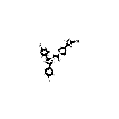 Cc1nnc(C2CCN(C(=O)Cn3nc(-c4ccc(F)cc4)nc3-c3ccc(F)cc3)CC2)o1